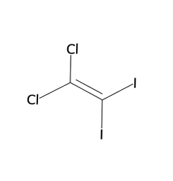 ClC(Cl)=C(I)I